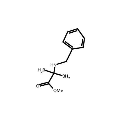 BC(B)(NCc1ccccc1)C(=O)OC